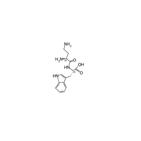 NCC[C@H](N)C(=O)N[C@@H](Cc1c[nH]c2ccccc12)C(=O)O